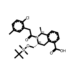 Cc1ccc(Cl)c(CC(=O)N2[C@@H](CO[Si](C)(C)C(C)(C)C)Cc3c(C(=O)O)cccc3[C@@H]2C)c1